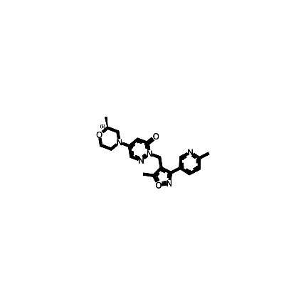 Cc1ccc(-c2noc(C)c2Cn2ncc(N3CCO[C@@H](C)C3)cc2=O)cn1